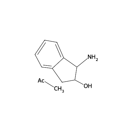 CC(C)=O.NC1c2ccccc2CC1O